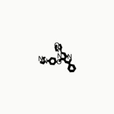 c1ccc(-c2cnc3cc(N4CCOCC4)nc(OC4CCC(n5ccnc5)CC4)c3c2)cc1